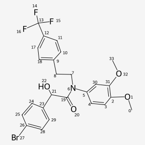 COc1ccc(N(CCc2ccc(C(F)(F)F)cc2)C(=O)C(O)c2ccc(Br)cc2)cc1OC